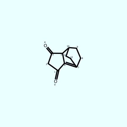 O=C1CC(=O)C2C1=C1CCC2CC1